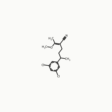 COC(C)=C(C#N)CCC(C)c1cc(Cl)cc(Cl)c1